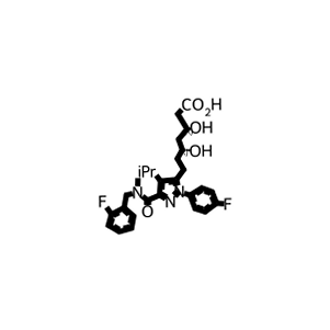 CC(C)c1c(C(=O)N(C)Cc2ccccc2F)nn(-c2ccc(F)cc2)c1CC[C@@H](O)C[C@@H](O)CC(=O)O